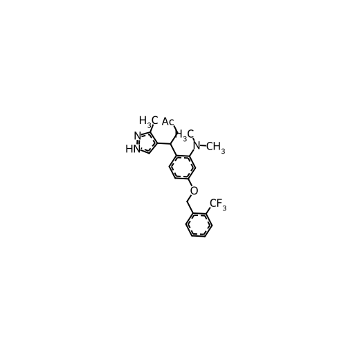 CC(=O)CC(c1ccc(OCc2ccccc2C(F)(F)F)cc1N(C)C)c1c[nH]nc1C